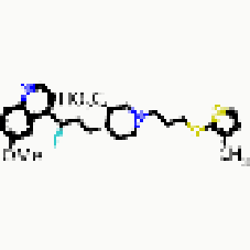 COc1ccc2nccc(C(F)CC[C@@H]3CCN(CCCSc4sccc4C)C[C@@H]3C(=O)O)c2c1